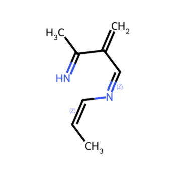 C=C(/C=N\C=C/C)C(C)=N